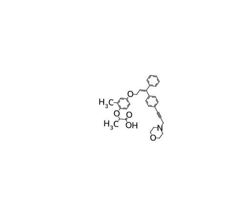 Cc1cc(OC/C=C(/c2ccccc2)c2ccc(C#CCN3CCOCC3)cc2)ccc1OC(C)C(=O)O